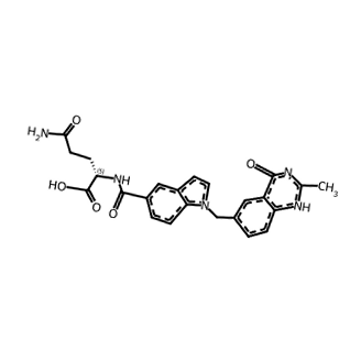 Cc1nc(=O)c2cc(Cn3ccc4cc(C(=O)N[C@@H](CCC(N)=O)C(=O)O)ccc43)ccc2[nH]1